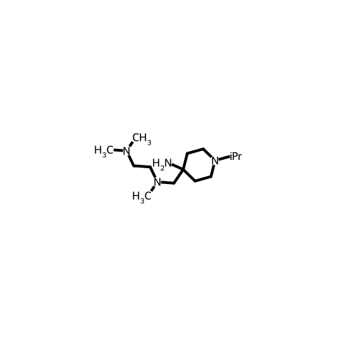 CC(C)N1CCC(N)(CN(C)CCN(C)C)CC1